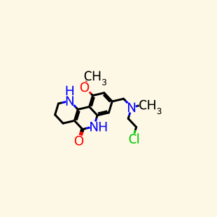 COc1cc(CN(C)CCCl)cc2[nH]c(=O)c3c(c12)NCCC3